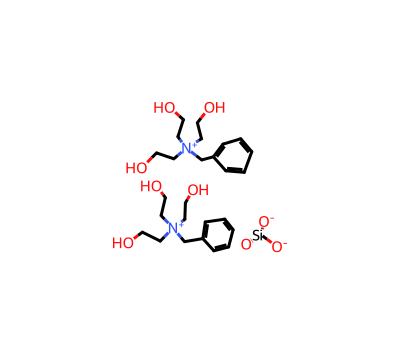 O=[Si]([O-])[O-].OCC[N+](CCO)(CCO)Cc1ccccc1.OCC[N+](CCO)(CCO)Cc1ccccc1